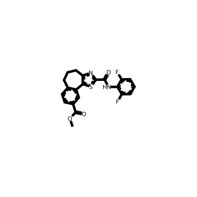 COC(=O)c1ccc2c(c1)-c1sc(C(=O)Nc3c(F)cccc3F)nc1CCC2